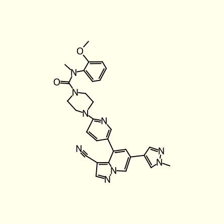 COc1ccccc1N(C)C(=O)N1CCN(c2ccc(-c3cc(-c4cnn(C)c4)cn4ncc(C#N)c34)cn2)CC1